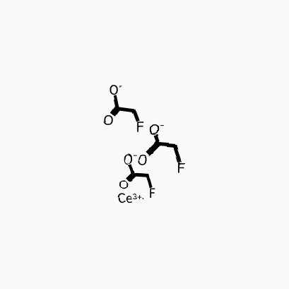 O=C([O-])CF.O=C([O-])CF.O=C([O-])CF.[Ce+3]